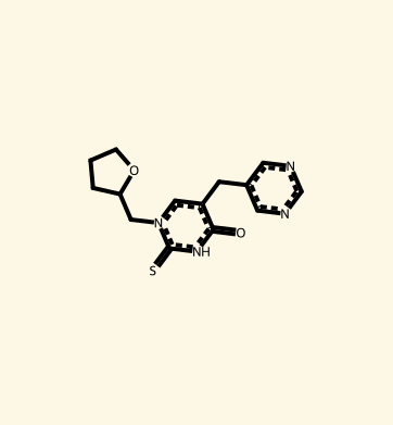 O=c1[nH]c(=S)n(CC2CCCO2)cc1Cc1cncnc1